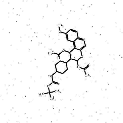 COc1ccc2ncc3c(c2c1)C(OC(C)=O)C(C1CCC(NC(=O)OC(C)(C)C)CC1)C(OC(C)=O)O3